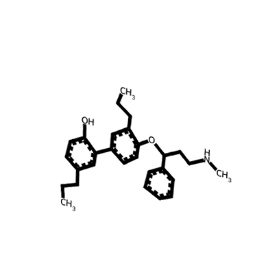 CCCc1ccc(O)c(-c2ccc(OC(CCNC)c3ccccc3)c(CCC)c2)c1